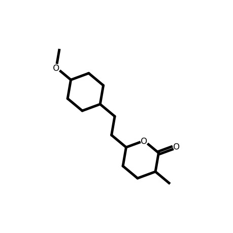 COC1CCC(CCC2CCC(C)C(=O)O2)CC1